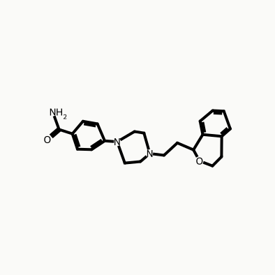 NC(=O)c1ccc(N2CCN(CCC3OCCc4ccccc43)CC2)cc1